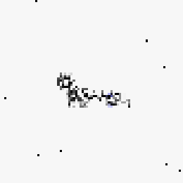 C/C=C\C(=C/C)CSCCC(=O)N(CC)c1cn(-c2cccnc2)nc1Cl